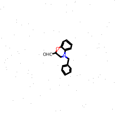 O=CC1CN(Cc2ccccc2)c2ccccc2O1